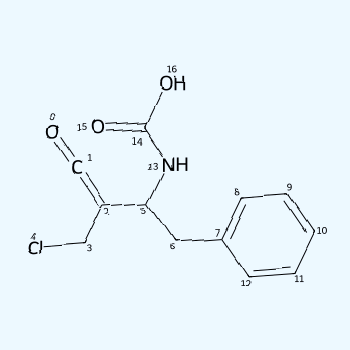 O=C=C(CCl)C(Cc1ccccc1)NC(=O)O